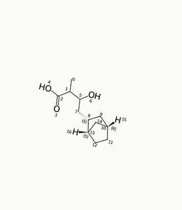 CC(C(=O)O)C(O)C[C@@H]1C[C@@H]2CC[C@H]1C2